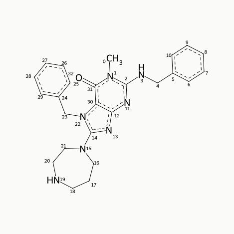 Cn1c(NCc2ccccc2)nc2nc(N3CCCNCC3)n(Cc3ccccc3)c2c1=O